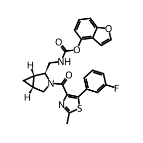 Cc1nc(C(=O)N2C[C@@H]3C[C@@H]3[C@H]2CNC(=O)Oc2cccc3occc23)c(-c2cccc(F)c2)s1